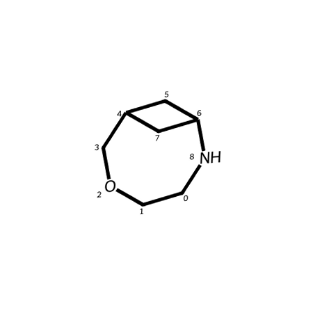 C1COCC2CC(C2)N1